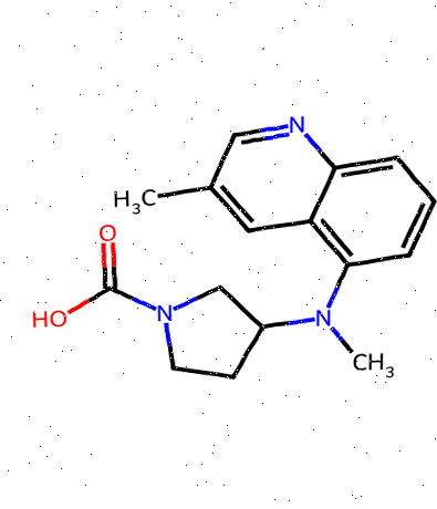 Cc1cnc2cccc(N(C)C3CCN(C(=O)O)C3)c2c1